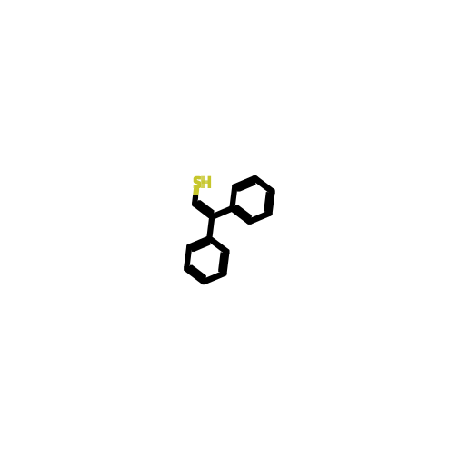 SC=C(c1ccccc1)c1ccccc1